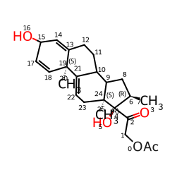 CC(=O)OCC(=O)[C@@]1(O)[C@H](C)CC2C3CCC4=CC(O)C=C[C@]4(C)C3=CC[C@@]21C